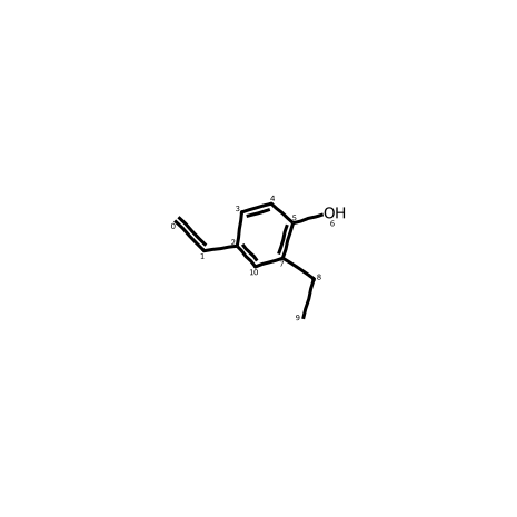 C=Cc1ccc(O)c(CC)c1